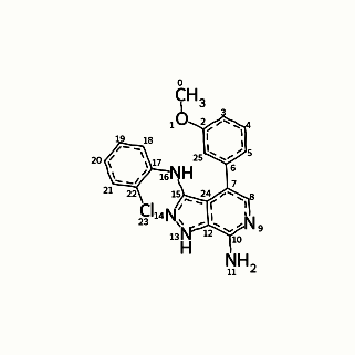 COc1cccc(-c2cnc(N)c3[nH]nc(Nc4ccccc4Cl)c23)c1